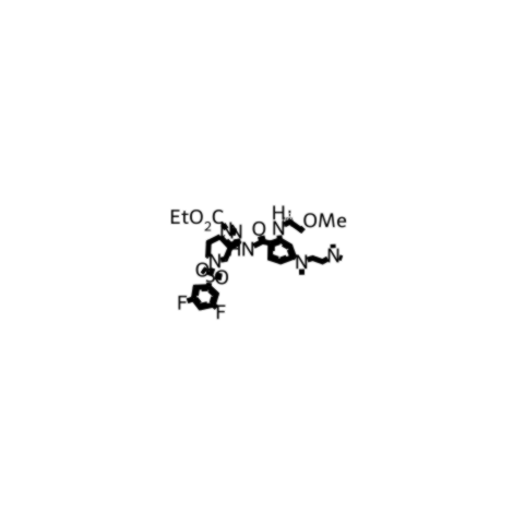 CCOC(=O)n1nc(NC(=O)c2ccc(N(C)CCN(C)C)cc2N[C@H](C)COC)c2c1CCN(S(=O)(=O)c1cc(F)cc(F)c1)C2